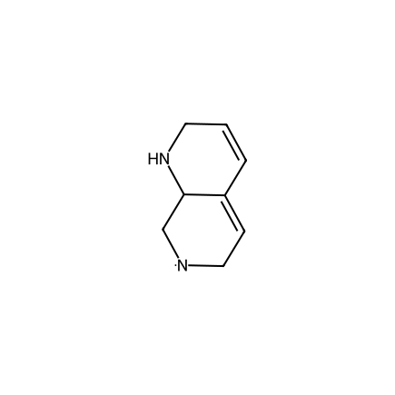 C1=CC2=CC[N]CC2NC1